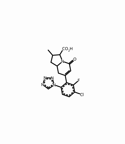 CC1CC2CC(c3c(-n4cnnn4)ccc(Cl)c3F)=CC(=O)N2C1C(=O)O